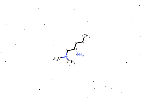 CCC[C@H](N)CN(C)C